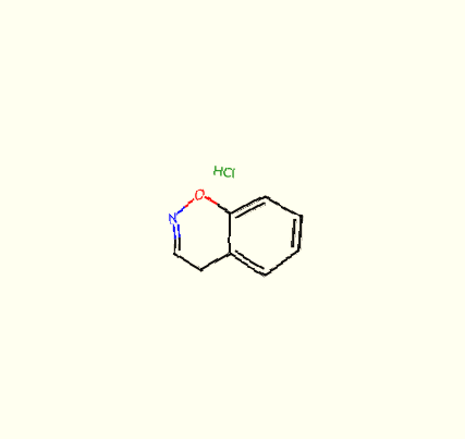 C1=NOc2ccccc2C1.Cl